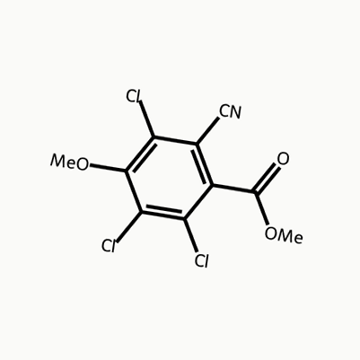 COC(=O)c1c(Cl)c(Cl)c(OC)c(Cl)c1C#N